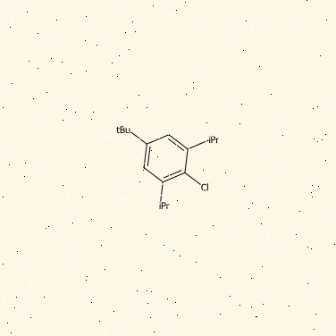 CC(C)c1cc(C(C)(C)C)cc(C(C)C)c1Cl